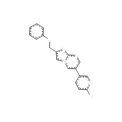 Clc1ccc(-c2cnc3nc(COc4ccccc4)cn3c2)cn1